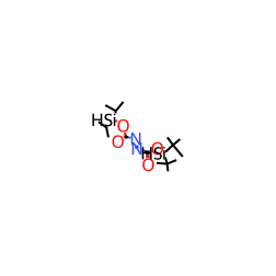 CC(C)[SiH](OC(=O)N=NC(=O)O[SiH](C(C)(C)C)C(C)(C)C)C(C)C